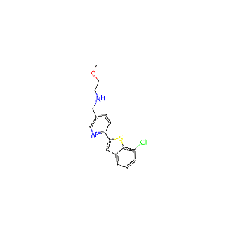 COCCNCc1ccc(-c2cc3cccc(Cl)c3s2)nc1